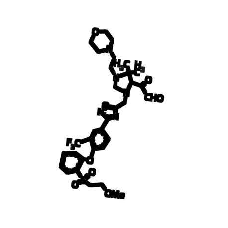 COCCS(=O)(=O)c1ccccc1Oc1ccc(-c2noc(CN3CN(CCN4CCOCC4)C(C)(C)C3C(=O)C=O)n2)cc1C(F)(F)F